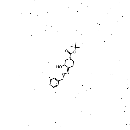 CC(C)(C)OC(=O)N1CCC(=NOCc2ccccc2)C(O)C1